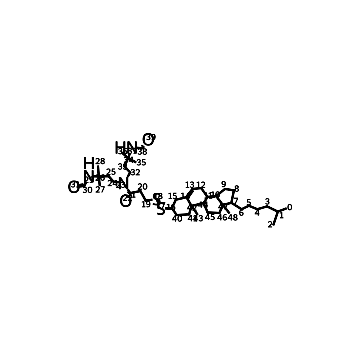 CC(C)CCCCC1CCC2C3CC=C4CC(SSCCC(=O)N(CCC(C)(C)NC=O)CCC(C)(C)NC=O)CCC4(C)C3CCC12C